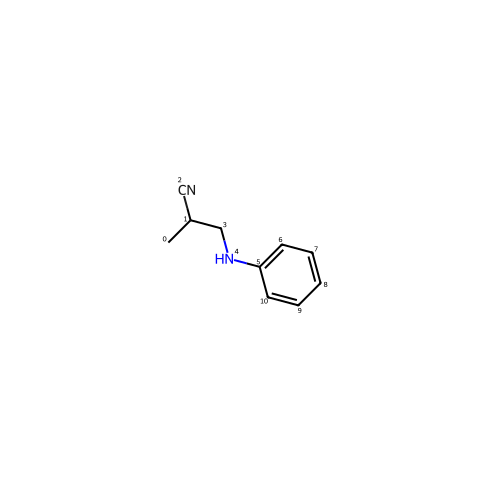 CC(C#N)CNc1ccccc1